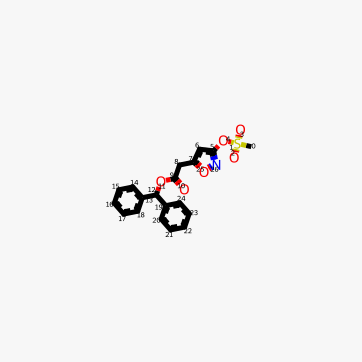 CS(=O)(=O)Oc1cc(CC(=O)OC(c2ccccc2)c2ccccc2)on1